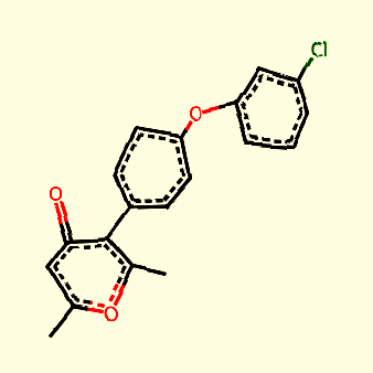 Cc1cc(=O)c(-c2ccc(Oc3cccc(Cl)c3)cc2)c(C)o1